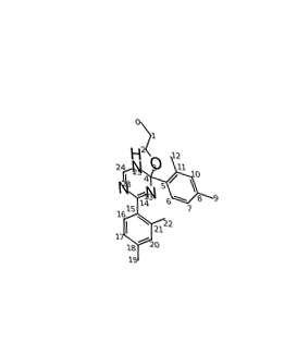 CCCOC1(c2ccc(C)cc2C)N=C(c2ccc(C)cc2C)N=CN1